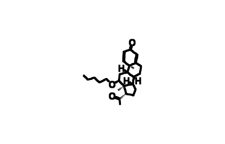 CCCCCO[C@H]1C[C@H]2[C@@H](CCC3=CC(=O)C=C[C@@]32C)[C@@H]2CC[C@H](C(C)=O)[C@@]12C